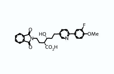 COc1ccc(-c2ccc(CC[C@@H](O)[C@H](CCN3C(=O)c4ccccc4C3=O)C(=O)O)cn2)cc1F